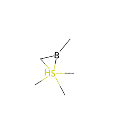 CB1C[SH]1(C)(C)C